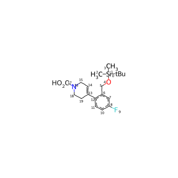 CC(C)(C)[Si](C)(C)OCc1cc(F)ccc1C1=CCN(C(=O)O)CC1